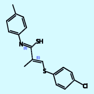 CC(=C\Sc1ccc(Cl)cc1)/C(S)=N/c1ccc(C)cc1